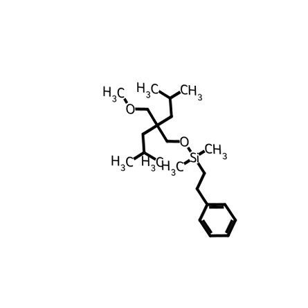 COCC(CO[Si](C)(C)CCc1ccccc1)(CC(C)C)CC(C)C